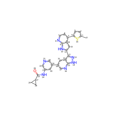 Cc1ccc(-c2ccnc3[nH]c(-c4n[nH]c5ncc(-c6cncc(NC(=O)C7CC7)c6)cc45)cc23)s1